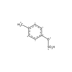 [CH2]c1ccc(OS(=O)(=O)O)cc1